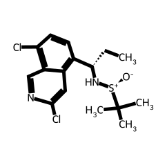 CC[C@H](N[S@+]([O-])C(C)(C)C)c1ccc(Cl)c2cnc(Cl)cc12